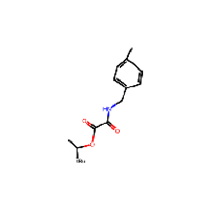 Cc1ccc(CNC(=O)C(=O)O[C@H](C)C(C)(C)C)cc1